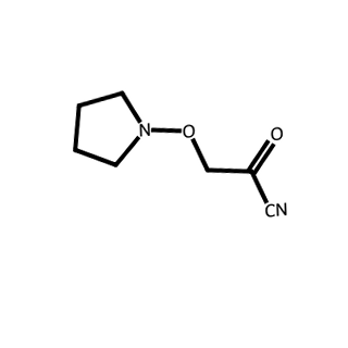 N#CC(=O)CON1CCCC1